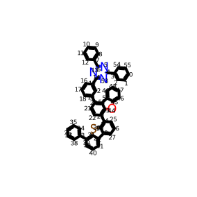 c1ccc(-c2nc(-c3ccccc3)nc(-c3cccc(-c4ccc(-c5cccc6c5sc5c(-c7ccccc7)cccc56)c5oc6ccccc6c45)c3)n2)cc1